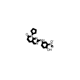 O=c1ccc2cnc(Nc3ccc(O)c([N+](=O)[O-])c3)nc2n1C1CCCC1